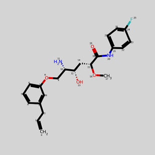 C=CCc1cccc(OC[C@H](N)[C@@H](O)C[C@@H](OC)C(=O)Nc2ccc(F)cc2)c1